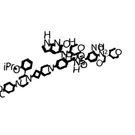 CC(C)Oc1ccccc1[C@@H]1CN(C2CCC(C)(O)CC2)CCN1C1CC2(CCN(c3ccc(C(=O)NS(=O)(=O)c4cc5c(c([N+](=O)[O-])c4)N[C@H](C4CCOCC4)CO5)c(N4c5cc6cc[nH]c6nc5O[C@H]5COCC[C@@H]54)c3)CC2)C1